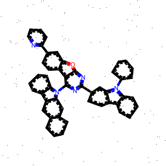 c1ccc(-n2c3ccccc3c3ccc(-c4nc(-n5c6ccccc6c6cc7ccccc7cc65)c5c(n4)oc4cc(-c6ccccn6)ccc45)cc32)cc1